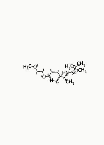 COCCOc1ccc([C@@H](C)NSC(C)(C)C)cn1